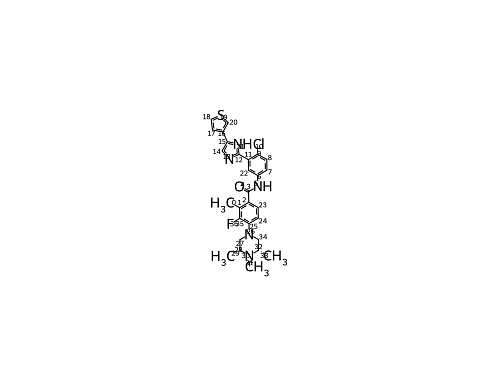 Cc1c(C(=O)Nc2ccc(Cl)c(-c3ncc(-c4ccsc4)[nH]3)c2)ccc(N2C[C@@H](C)N(C)[C@@H](C)C2)c1F